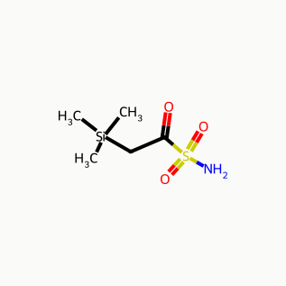 C[Si](C)(C)CC(=O)S(N)(=O)=O